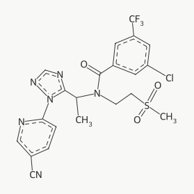 CC(c1ncnn1-c1ccc(C#N)cn1)N(CCS(C)(=O)=O)C(=O)c1cc(Cl)cc(C(F)(F)F)c1